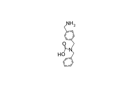 NCc1ccc(CN(Cc2ccccc2)C(=O)O)cc1